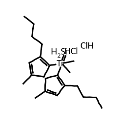 CCCCC1=[C]([Ti]([CH3])([CH3])(=[SiH2])[C]2=C(CCCC)C=C(C)C2)CC(C)=C1.Cl.Cl